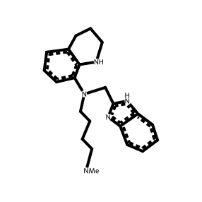 CNCCCCN(Cc1nc2ccccc2[nH]1)c1cccc2c1NCCC2